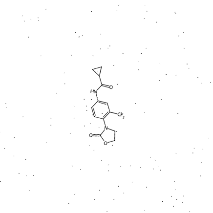 O=C(Nc1ccc(N2CCOC2=O)c(C(F)(F)F)c1)C1CC1